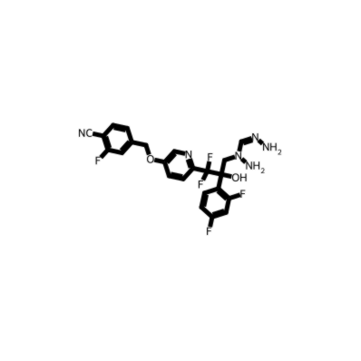 N#Cc1ccc(COc2ccc(C(F)(F)C(O)(CN(N)/C=N\N)c3ccc(F)cc3F)nc2)cc1F